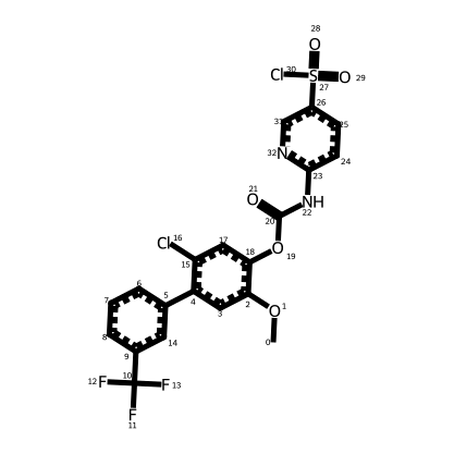 COc1cc(-c2cccc(C(F)(F)F)c2)c(Cl)cc1OC(=O)Nc1ccc(S(=O)(=O)Cl)cn1